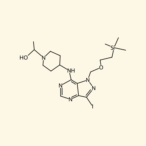 CC(O)N1CCC(Nc2ncnc3c(I)nn(COCC[Si](C)(C)C)c23)CC1